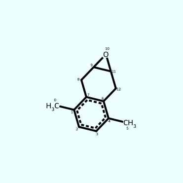 Cc1ccc(C)c2c1CC1OC1C2